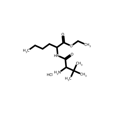 CCCCC(NC(=O)C(N)C(C)(C)C)C(=O)OCC.Cl